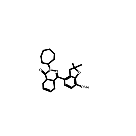 COc1ccc(C2=NN(C3CCCCCC3)C(=O)C3CC=CCC23)c2c1OC(C)(C)C2